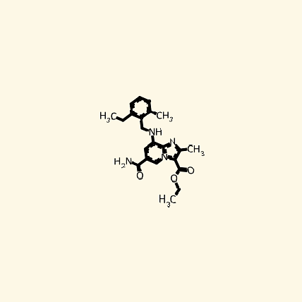 CCOC(=O)c1c(C)nc2c(NCc3c(C)cccc3CC)cc(C(N)=O)cn12